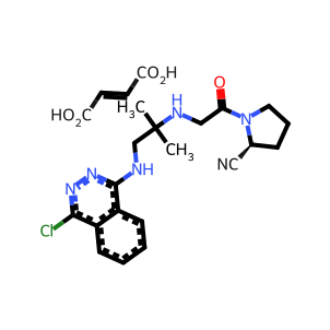 CC(C)(CNc1nnc(Cl)c2ccccc12)NCC(=O)N1CCC[C@H]1C#N.O=C(O)/C=C/C(=O)O